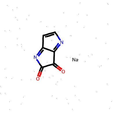 O=c1nc2ccnc-2c1=O.[Na]